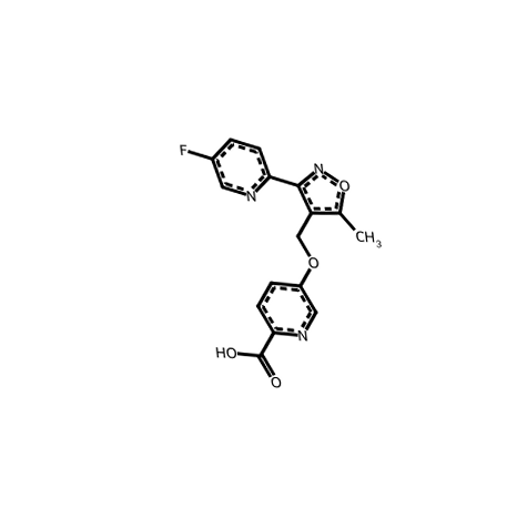 Cc1onc(-c2ccc(F)cn2)c1COc1ccc(C(=O)O)nc1